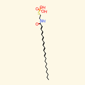 CCCCCCCCCC=CC=CC=CC=CC=CC=CC(=O)NCCSP(=O)(O)O